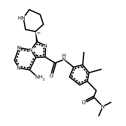 Cc1c(CC(=O)N(C)C)ccc(NC(=O)c2nc([C@@H]3CCCNC3)n3ncnc(N)c23)c1C